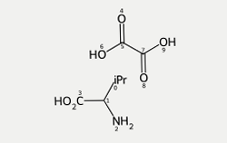 CC(C)C(N)C(=O)O.O=C(O)C(=O)O